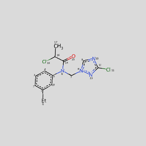 CCc1cccc(N(Cn2cnc(Cl)n2)C(=O)C(C)Cl)c1